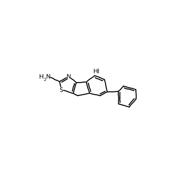 I.Nc1nc2c(s1)Cc1cc(-c3ccccc3)ccc1-2